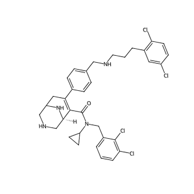 O=C(C1=C(c2ccc(CNCCCc3cc(Cl)ccc3Cl)cc2)CC2CNC[C@H]1N2)N(Cc1cccc(Cl)c1Cl)C1CC1